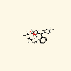 [2H]C1([2H])N(C(=O)CI)C([2H])([2H])C([2H])([2H])N(S(=O)(=O)c2ccccc2-c2c3ccc(=[N+](C)C)cc-3oc3cc(N(C)C)ccc23)C1([2H])[2H]